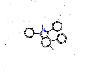 Cc1ccc2c(-c3ccccc3)n(C)c(-c3ccccc3)c2c1-c1ccccc1